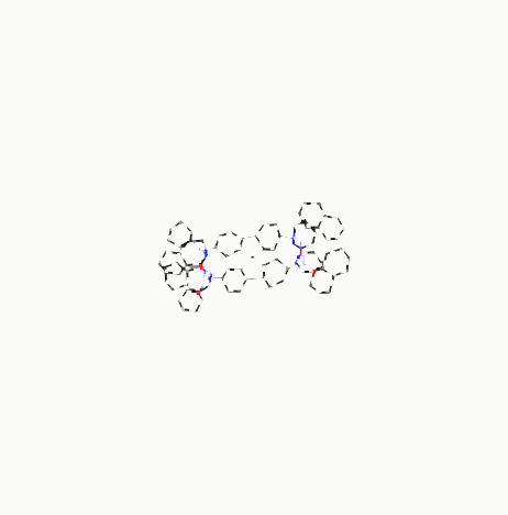 c1ccc(N(c2ccc3c(c2)C2(c4cc(N(c5ccccc5)c5cccc6ccccc56)ccc4-3)c3cc(N(c4ccccc4)c4cccc5ccccc45)ccc3-c3ccc(N(c4ccccc4)c4cccc5ccccc45)cc32)c2cccc3ccccc23)cc1